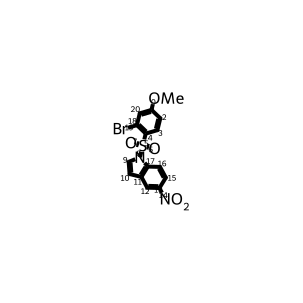 COc1ccc(S(=O)(=O)n2ccc3cc([N+](=O)[O-])ccc32)c(Br)c1